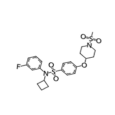 CS(=O)(=O)N1CCC(Oc2ccc(S(=O)(=O)N(c3cccc(F)c3)C3CCC3)cc2)CC1